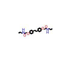 C=CCNC(=O)COc1ccc(/C=C/c2ccc(OCC(=O)NCC=C)cc2)cc1